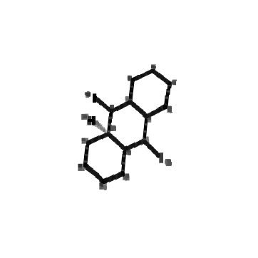 IC1C2CCCCC2C(I)[C@@H]2CCCCC12